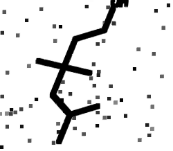 CC(C)CC(C)(C)CCO